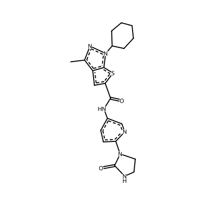 Cc1nn(C2CCCCC2)c2sc(C(=O)Nc3ccc(N4CCNC4=O)nc3)cc12